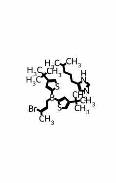 CC(Br)=CCB(c1cc(C(C)(C)C)cs1)c1cc(C(C)(C)C)cs1.CC(C)CCCc1cnc[nH]1